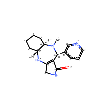 CC(=O)N1[C@@H]2CCCC[C@H]2NC2=C(C(=O)NC2)[C@H]1c1cccnc1